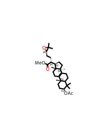 COC(=O)[C@H](CC[C@H]1OC1(C)C)[C@H]1CC[C@@]2(C)C3=C(CC[C@]12C)[C@@]1(C)CC[C@H](OC(C)=O)C(C)(C)C1CC3